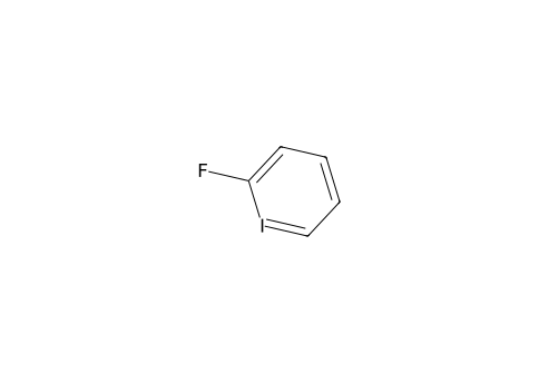 FC1=CC=CC=I1